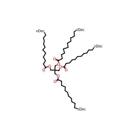 CCCCCCCCCCCCCCCCCCCCC(=O)OCC(COC(=O)CCCCCCCCCCCCCCCCCCCC)(COC(=O)CCCCCCCCCCCCCCCCCCCC)COC(=O)CCCCCCCCCCCCCCCCCCCC